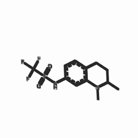 CC1CCc2ccc(NS(=O)(=O)C(F)(F)F)cc2N1C